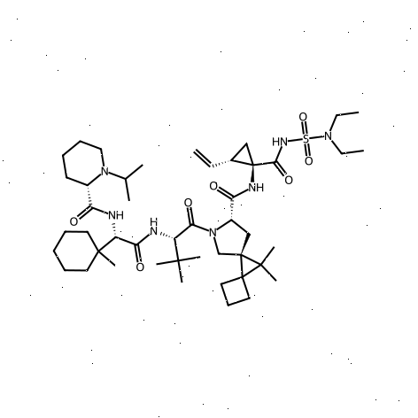 C=C[C@@H]1C[C@]1(NC(=O)[C@@H]1C[C@@]2(CN1C(=O)[C@@H](NC(=O)[C@@H](NC(=O)[C@@H]1CCCCN1C(C)C)C1(C)CCCCC1)C(C)(C)C)C(C)(C)C21CCC1)C(=O)NS(=O)(=O)N(CC)CC